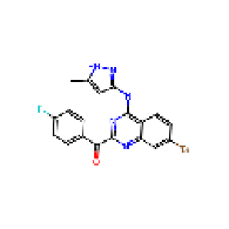 Cc1cc(Nc2nc(C(=O)c3ccc(F)cc3)nc3cc(Br)ccc23)n[nH]1